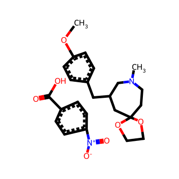 COc1ccc(CC2CN(C)CCC3(C2)OCCO3)cc1.O=C(O)c1ccc([N+](=O)[O-])cc1